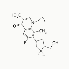 Cc1c(N2CC(CO)C3(CC3)C2)c(F)cc2c(=O)c(C(=O)O)cn(C3CC3)c12